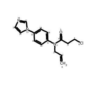 C=CCN(C(=O)CCCl)c1ccc(-n2ccnc2)cc1